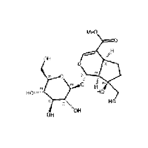 COC(=O)C1=CO[C@@H](O[C@@H]2O[C@H](CO)[C@@H](O)[C@H](O)[C@H]2O)[C@H]2[C@@H]1CC[C@]2(O)CO